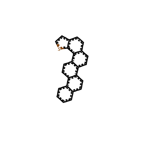 c1ccc2c(c1)ccc1c2ccc2c1ccc1ccc3ccsc3c12